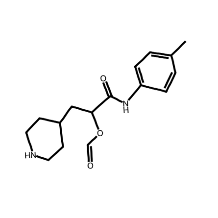 Cc1ccc(NC(=O)C(CC2CCNCC2)OC=O)cc1